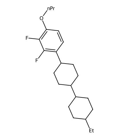 CCCOc1ccc(C2CCC(C3CCC(CC)CC3)CC2)c(F)c1F